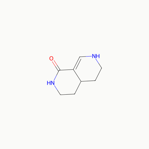 O=C1NCCC2CCNC=C12